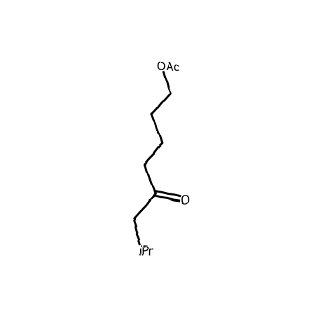 CC(=O)OCCCCC(=O)CC(C)C